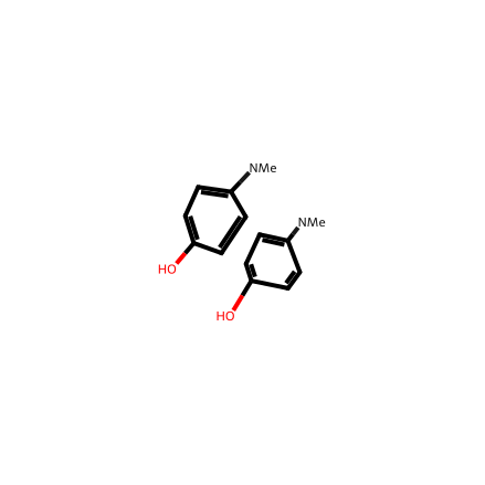 CNc1ccc(O)cc1.CNc1ccc(O)cc1